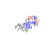 CCNC(=O)c1cc(Oc2ccc3c(c2)nc(Nc2cc(C(F)(F)F)ccc2F)n3C)ccn1